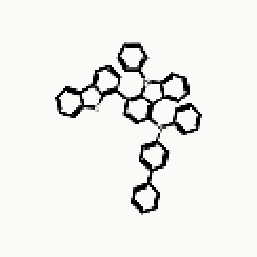 c1ccc(-c2ccc(N(c3ccccc3)c3ccc(-c4cccc5c4sc4ccccc45)c4c3c3ccccc3n4-c3ccccc3)cc2)cc1